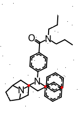 CCCN(CCC)C(=O)c1ccc(N(c2ccccc2)C2CC3CCC(C2)N3CCc2ccccc2)cc1